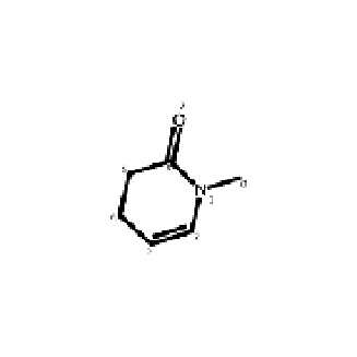 CN1C=CCCC1=O